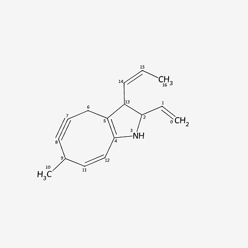 C=CC1NC2=C(CC#CC(C)/C=C\2)C1/C=C\C